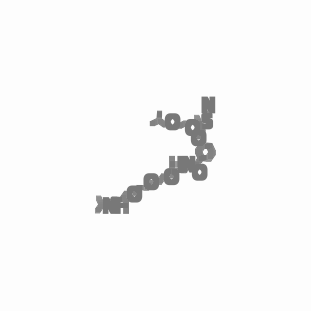 CC(C)COCCOC(C)(COc1cccc(C(=O)NCCOCCOCCOCCCNC(C)C)c1)SC#N